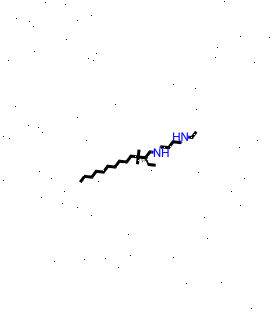 CCCCCCCCCCC(C)(C)[C@H](CC)CNCCCCNCC